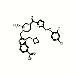 C[C@H]1CN(C(=O)c2cnc(COc3ccc(Cl)cc3Cl)o2)CCN1Cc1nc2ccc(C(=O)O)cc2n1C[C@@H]1CCO1